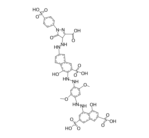 COc1cc(NNc2cc(S(=O)(=O)O)cc3cc(S(=O)(=O)O)cc(O)c23)c(OC)cc1NNc1c(S(=O)(=O)O)cc2cc(NNC3C(=O)N(c4ccc(S(=O)(=O)O)cc4)N=C3C(=O)O)ccc2c1O